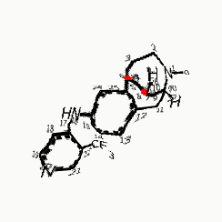 CN1CC[C@]23CCCC[C@H]2[C@H]1Cc1ccc(Nc2ccncc2C(F)(F)F)cc13